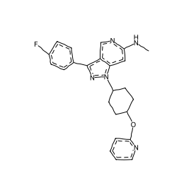 CNc1cc2c(cn1)c(-c1ccc(F)cc1)nn2C1CCC(Oc2ccccn2)CC1